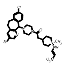 C[N+]1(NC=C[N+](=O)[O-])CCC(CC(=O)N2CCN(C3c4ccc(Cl)cc4CCc4cc(Br)cnc43)CC2)CC1